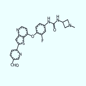 CN1CC(NC(=O)Nc2ccc(Oc3ccnc4cc(-c5ccc(C=O)cn5)sc34)c(F)c2)C1